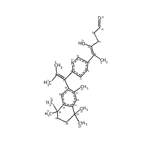 CC(C)=C(c1ccc(/C(C)=C(\O)CCC=O)cn1)c1cc2c(cc1C)C(C)(C)CCC2(C)C